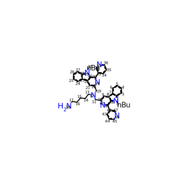 CCCCn1c2ccccc2c2cc(CN(CCCCCN)Cc3cc4c5ccccc5n(CCCC)c4c(-c4cccnc4)n3)nc(-c3cccnc3)c21